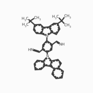 CC(C)(C)c1ccc2c(c1)c1cc(C(C)(C)C)ccc1n2-c1cc(C=N)c(-n2c3ccccc3c3c4ccccc4ccc32)cc1C=N